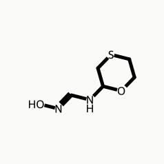 ON=CNC1CSCCO1